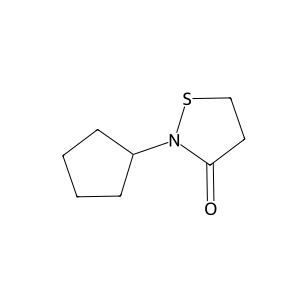 O=C1CCSN1C1CCCC1